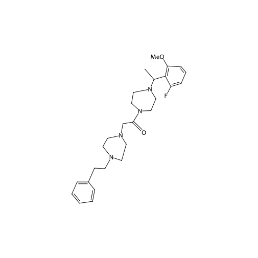 COc1cccc(F)c1C(C)N1CCN(C(=O)CN2CCN(CCc3ccccc3)CC2)CC1